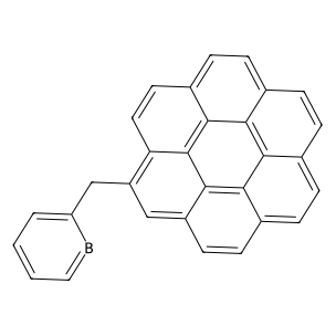 b1ccccc1Cc1cc2ccc3ccc4ccc5ccc6ccc1c1c6c5c4c3c21